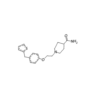 NC(=O)C1CCN(CCOc2ccc(Cc3cccs3)cc2)CC1